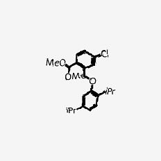 COC(OC)c1ccc(Cl)cc1COc1cc(C(C)C)ccc1C(C)C